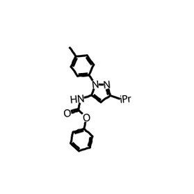 Cc1ccc(-n2nc(C(C)C)cc2NC(=O)Oc2ccccc2)cc1